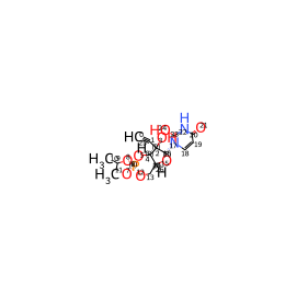 C#C[C@@]1(O)[C@@H]2O[P@@](=O)(OC(C)C)OC[C@H]2O[C@H]1N1C=CC(=O)NC1O